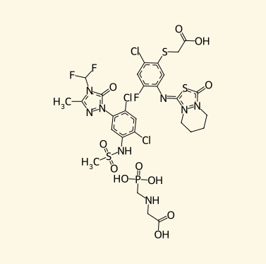 Cc1nn(-c2cc(NS(C)(=O)=O)c(Cl)cc2Cl)c(=O)n1C(F)F.O=C(O)CNCP(=O)(O)O.O=C(O)CSc1cc(N=c2sc(=O)n3n2CCCC3)c(F)cc1Cl